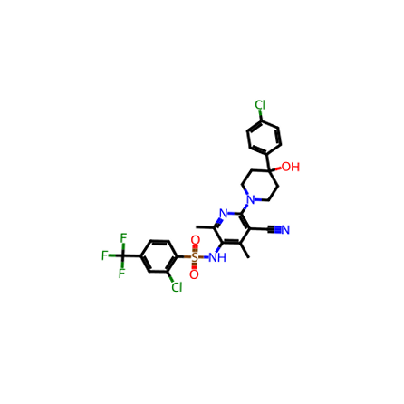 Cc1nc(N2CCC(O)(c3ccc(Cl)cc3)CC2)c(C#N)c(C)c1NS(=O)(=O)c1ccc(C(F)(F)F)cc1Cl